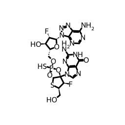 Nc1nc2c(ncn2[C@@]2(OP(=O)(S)OC[C@H]3O[C@@H](n4nnc5c(N)ncnc54)[C@@H](F)[C@@H]3O)CS[C@H](CO)[C@@H]2F)c(=O)[nH]1